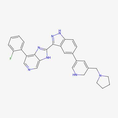 Fc1ccccc1-c1cncc2[nH]c(-c3n[nH]c4ccc(C5=CNCC(CN6CCCC6)=C5)cc34)nc12